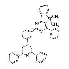 C[Si]1(C)c2ccccc2-c2nc(-c3cccc(-c4cc(-c5ccccc5)nc(-c5ccccc5)n4)c3)nc(-c3ccccc3)c21